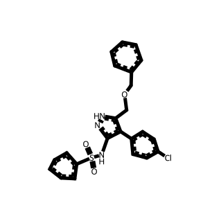 O=S(=O)(Nc1n[nH]c(COCc2ccccc2)c1-c1ccc(Cl)cc1)c1ccccc1